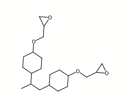 CC(CC1CCC(OCC2CO2)CC1)C1CCC(OCC2CO2)CC1